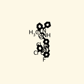 CN1C(=O)C(NC(=O)c2ccc(CN(Cc3ccc(F)cc3)S(=O)(=O)c3cc(Cl)cc(Cl)c3O)cc2)N=C(c2ccccc2)c2ccccc21